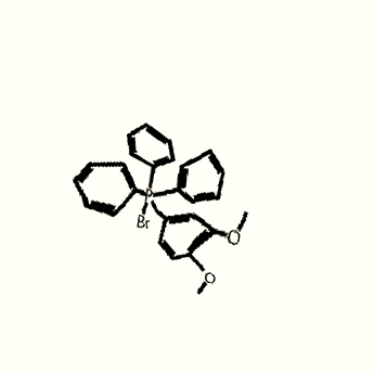 COc1ccc(P(Br)(c2ccccc2)(c2ccccc2)c2ccccc2)cc1OC